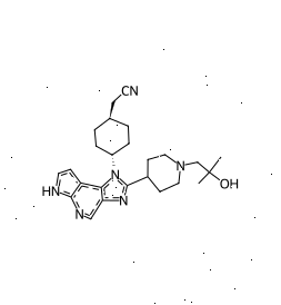 CC(C)(O)CN1CCC(c2nc3cnc4[nH]ccc4c3n2[C@H]2CC[C@H](CC#N)CC2)CC1